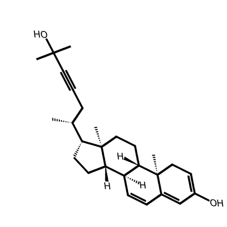 C[C@H](CC#CC(C)(C)O)[C@H]1CC[C@H]2[C@@H]3C=CC4=CC(O)=CC[C@]4(C)[C@H]3CC[C@]12C